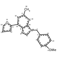 COc1ccc(Cn2cnc3c(-c4ccco4)nc(C)nc32)cc1